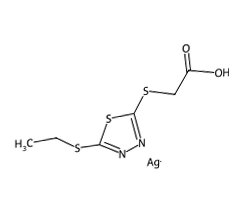 CCSc1nnc(SCC(=O)O)s1.[Ag]